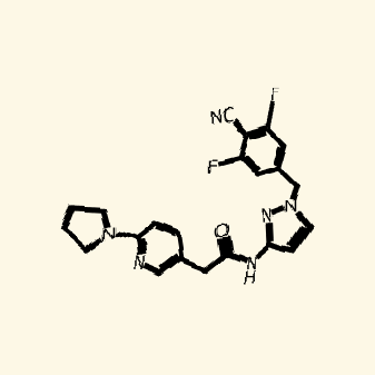 N#Cc1c(F)cc(Cn2ccc(NC(=O)Cc3ccc(N4CCCC4)nc3)n2)cc1F